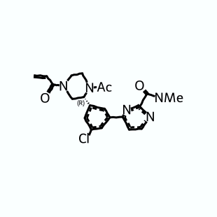 C=CC(=O)N1CCN(C(C)=O)[C@H](c2cc(Cl)cc(-c3ccnc(C(=O)NC)n3)c2)C1